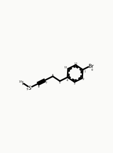 Brc1ccc(CCC#CSI)cc1